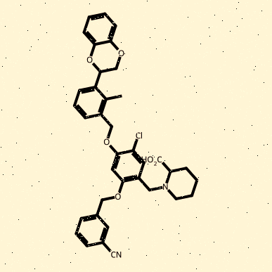 Cc1c(COc2cc(OCc3cccc(C#N)c3)c(CN3CCCCC3C(=O)O)cc2Cl)cccc1C1COc2ccccc2O1